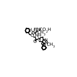 CN1N=C2CCN(C(=O)C(COCc3ccccc3)NC(=O)C(C)(C)NC(=O)O)CC2(Cc2ccccc2)C1=O